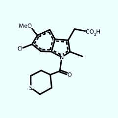 COc1cc2c(CC(=O)O)c(C)n(C(=O)C3CCSCC3)c2cc1Cl